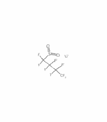 O=[S-](=O)C(F)(F)C(F)(F)C(F)(F)C(F)(F)F.[Li+]